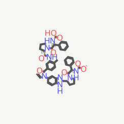 COC(=O)N[C@@H](C(=O)N1CCCC1c1nc2cc(N3C=COC3c3ccc(C)c(NC(=O)[C@@H]4CCCN4C(=O)[C@H](NC(=O)O)c4ccccc4)c3)ccc2[nH]1)c1ccccc1